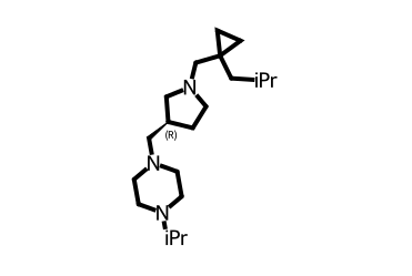 CC(C)CC1(CN2CC[C@@H](CN3CCN(C(C)C)CC3)C2)CC1